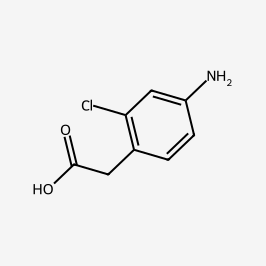 Nc1ccc(CC(=O)O)c(Cl)c1